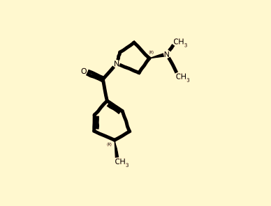 C[C@H]1C=CC(C(=O)N2CC[C@@H](N(C)C)C2)=CC1